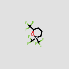 FC(F)(F)C1CCC[Si](C(F)(F)F)(C(F)(F)F)O1